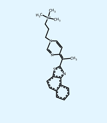 CC(=C1C=CN(CCC[N+](C)(C)C)C=N1)c1nc2c(ccc3ccccc32)s1